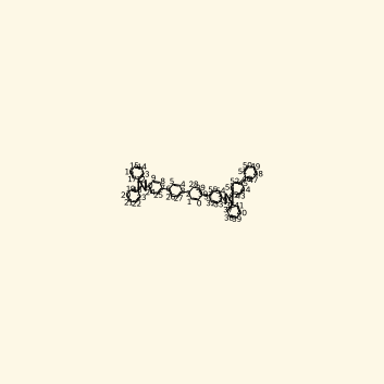 C1=CC(c2ccc(-c3ccc(N(c4ccccc4)c4ccccc4)cc3)cc2)CC=C1c1ccc(N(c2ccccc2)c2ccc(-c3ccccc3)cc2)cc1